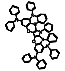 c1ccc(N(c2ccccc2)c2cc3c4c(c2)N(c2ccccc2)c2ccccc2B4c2c(c4c(n2-c2ccccc2)B2c5ccccc5N(c5ccccc5)c5cc(N(c6ccccc6)c6ccccc6)cc(c52)O4)O3)cc1